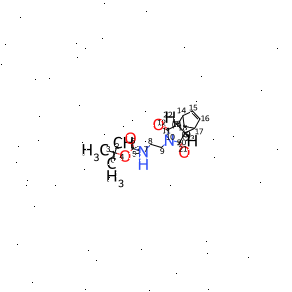 CC(C)(C)OC(=O)NCCN1C(=O)[C@@H]2C3C=CC(C3)[C@@H]2C1=O